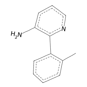 Cc1ccccc1-c1ncccc1N